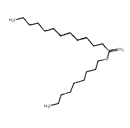 C=C(CCCCCCCCCCCC)OCCCCCCCCC